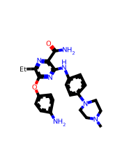 CCc1nc(C(N)=O)c(Nc2ccc(N3CCN(C)CC3)cc2)nc1Oc1ccc(N)cc1